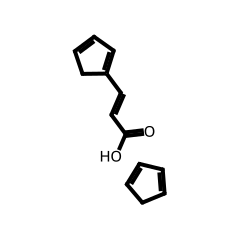 C1=CCC=C1.O=C(O)C=CC1=CC=CC1